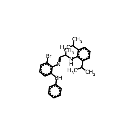 CC(/C=N/c1c(Br)cccc1Bc1ccccc1)Nc1c(C(C)C)cccc1C(C)C